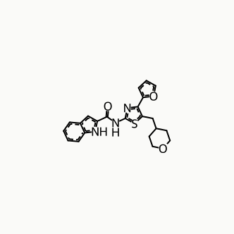 O=C(Nc1nc(-c2ccco2)c(CC2CCOCC2)s1)c1cc2ccccc2[nH]1